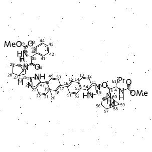 COC(=O)N[C@H](C(=O)N1[C@@H](c2nc3ccc4cc(C5=CC6(C)C=Cc7nc([C@@H]8[C@H]9CC[C@H](C9)N8C(=O)[C@H](NC(=O)OC)c8ccccc8)[nH]c7C6C=C5)ccc4c3[nH]2)CC[C@H]2C[C@H]21)C(C)C